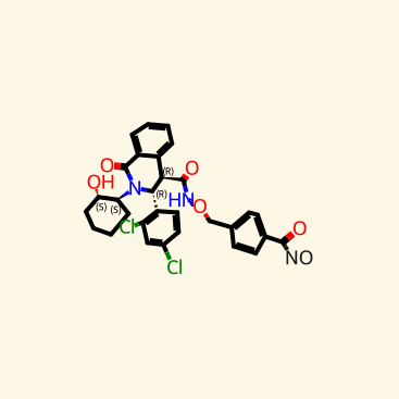 O=NC(=O)c1ccc(CONC(=O)[C@@H]2c3ccccc3C(=O)N([C@H]3CCCC[C@@H]3O)[C@H]2c2ccc(Cl)cc2Cl)cc1